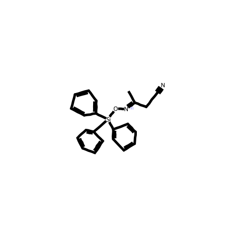 C/C(CC#N)=N\O[Si](c1ccccc1)(c1ccccc1)c1ccccc1